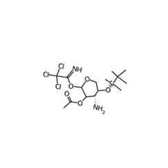 CC(=O)OC1C(OC(=N)C(Cl)(Cl)Cl)OCC(O[Si](C)(C)C(C)(C)C)[C@@H]1N